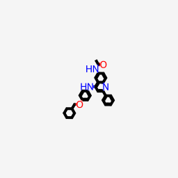 CC(=O)Nc1ccc2nc(-c3ccccc3)cc(Nc3ccc(OCC4CCCCC4)cc3)c2c1